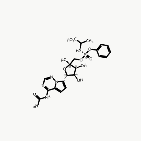 CCCC(=O)Nc1ncnn2c([C@@H]3O[C@](C#N)(CO[P@@](=O)(NC(C)C(=O)O)Oc4ccccc4)[C@@H](O)[C@H]3O)ccc12